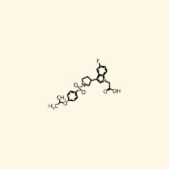 CC(C)Oc1ccc(S(=O)(=O)N2CCC(c3cn(CC(=O)O)c4ccc(F)cc34)C2)cc1